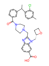 Cc1ccc(C(C)c2cccc(C(=O)N3CCN(Cc4nc5ccc(C(=O)O)cc5n4C[C@@H]4CCO4)CC3)c2)c(Cl)c1